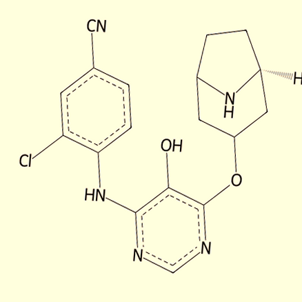 N#Cc1ccc(Nc2ncnc(OC3CC4CC[C@@H](C3)N4)c2O)c(Cl)c1